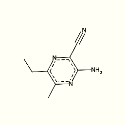 CCc1nc(C#N)c(N)nc1C